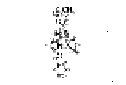 CC1(C)COC(c2nc(-c3ccc(F)cc3)c(-c3ccnc(OCc4ccccc4)n3)[nH]2)OC1